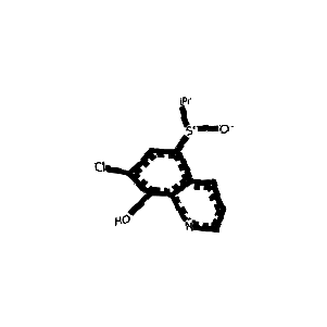 CC(C)[S+]([O-])c1cc(Cl)c(O)c2ncccc12